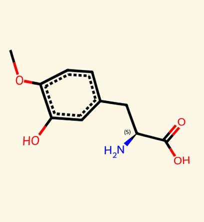 COc1ccc(C[C@H](N)C(=O)O)cc1O